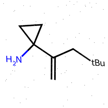 C=C(CC(C)(C)C)C1(N)CC1